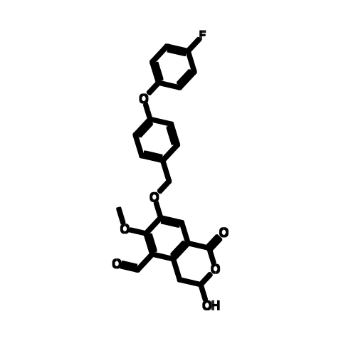 COc1c(OCc2ccc(Oc3ccc(F)cc3)cc2)cc2c(c1C=O)CC(O)OC2=O